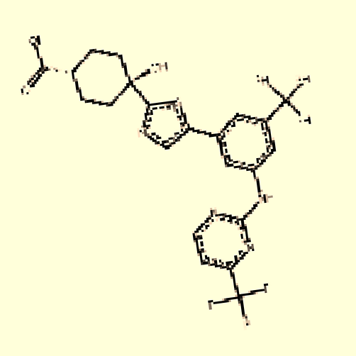 [2H]C([2H])([2H])c1cc(Nc2nccc(C(F)(F)F)n2)cc(-c2cnc([C@]3(O)CC[C@H](C(=O)O)CC3)s2)c1